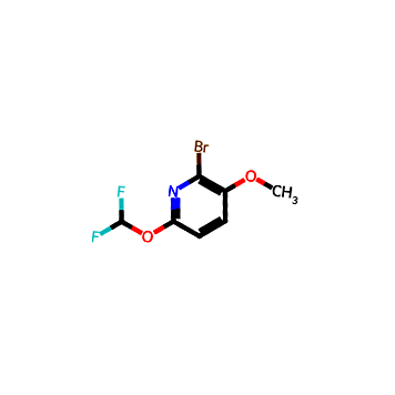 COc1ccc(OC(F)F)nc1Br